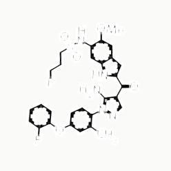 COc1cc2cc(C(=O)c3cnn(-c4ccc(Oc5ccccc5F)cc4C)c3N)[nH]c2cc1NS(=O)(=O)CCCF